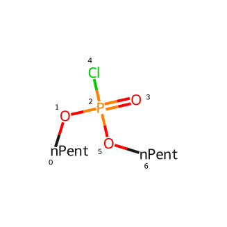 CCCCCOP(=O)(Cl)OCCCCC